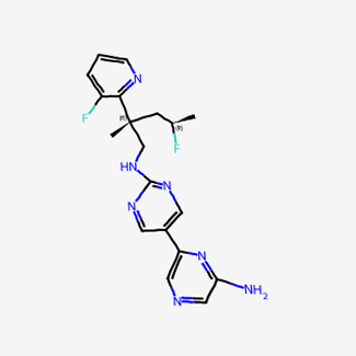 C[C@@H](F)C[C@](C)(CNc1ncc(-c2cncc(N)n2)cn1)c1ncccc1F